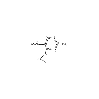 CNc1ccc(C)cc1C1CC1